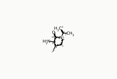 C=C(C)n1ccc(F)c(N)c1=O